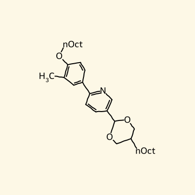 CCCCCCCCOc1ccc(-c2ccc(C3OCC(CCCCCCCC)CO3)cn2)cc1C